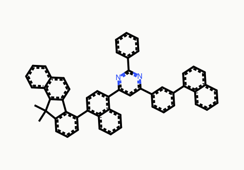 CC1(C)c2cccc(-c3ccc(-c4cc(-c5cccc(-c6cccc7ccccc67)c5)nc(-c5ccccc5)n4)c4ccccc34)c2-c2ccc3ccccc3c21